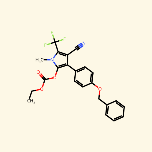 CCOC(=O)Oc1c(-c2ccc(OCc3ccccc3)cc2)c(C#N)c(C(F)(F)F)n1C